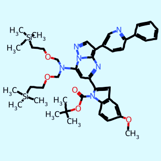 COc1ccc2c(c1)cc(-c1cc(N(COCC[Si](C)(C)C)COCC[Si](C)(C)C)n3ncc(-c4ccc(-c5ccccc5)nc4)c3n1)n2C(=O)OC(C)(C)C